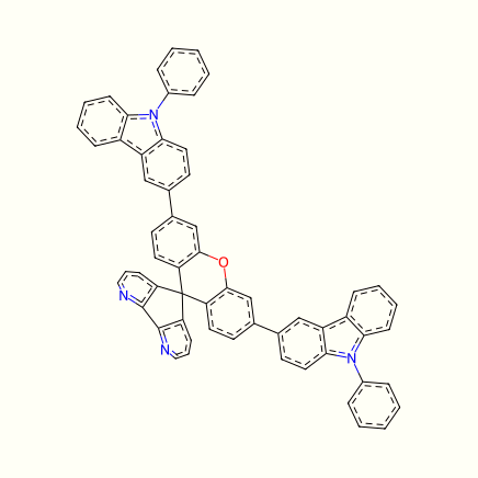 c1ccc(-n2c3ccccc3c3cc(-c4ccc5c(c4)Oc4cc(-c6ccc7c(c6)c6ccccc6n7-c6ccccc6)ccc4C54c5cccnc5-c5ncccc54)ccc32)cc1